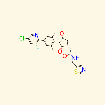 Cc1cc(-c2ncc(Cl)cc2F)cc(C)c1C1C(=O)CC(CC(=O)NCc2cncs2)C1=O